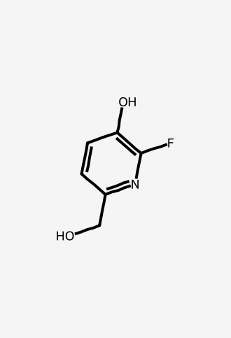 OCc1ccc(O)c(F)n1